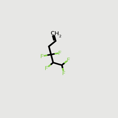 C=CCC(F)(F)C(F)C(F)F